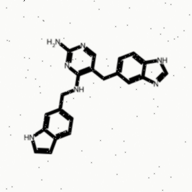 Nc1ncc(Cc2ccc3[nH]cnc3c2)c(NCc2ccc3cc[nH]c3c2)n1